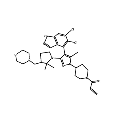 C=CC(=O)N1CCC(n2nc(N3CCC(CN4CCOCC4)C3(C)C)c(-c3c(Cl)c(Cl)cc4[nH]ncc34)c2C)CC1